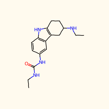 CCNC(=O)Nc1ccc2[nH]c3c(c2c1)CC(NCC)CC3